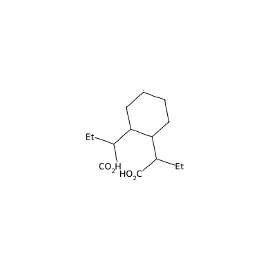 CCC(C(=O)O)C1C[CH]CCC1C(CC)C(=O)O